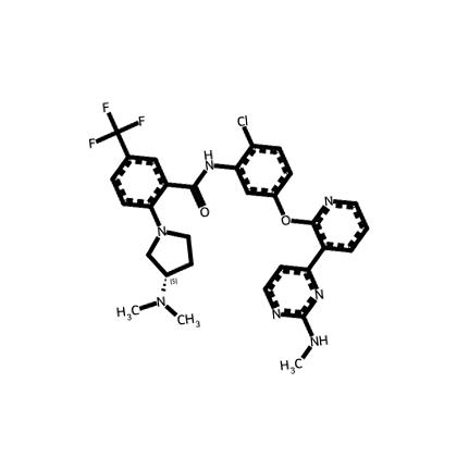 CNc1nccc(-c2cccnc2Oc2ccc(Cl)c(NC(=O)c3cc(C(F)(F)F)ccc3N3CC[C@H](N(C)C)C3)c2)n1